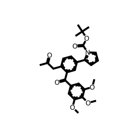 COc1cc(C(=O)c2cc(-c3cccn3C(=O)OC(C)(C)C)ccc2CC(C)=O)cc(OC)c1OC